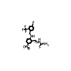 NC(=S)N/N=C/c1cc([N+](=O)[O-])ccc1NCc1ccc(F)cc1C(F)(F)F